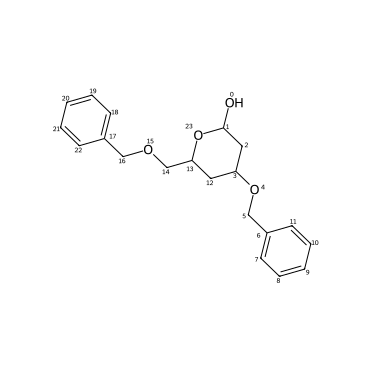 OC1CC(OCc2ccccc2)CC(COCc2ccccc2)O1